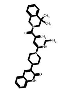 C=C(/C=C(\NCN)N1CCC(c2cc3ccccc3[nH]c2=O)CC1)C(=O)N1Cc2ccccc2C(C)(C)C1